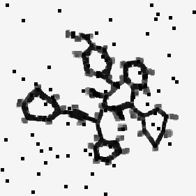 Nc1ccc(N2C(=O)N(C(C#Cc3ccccc3)c3ccccc3)N=C(C3CCCCC3)c3ccccc32)cc1